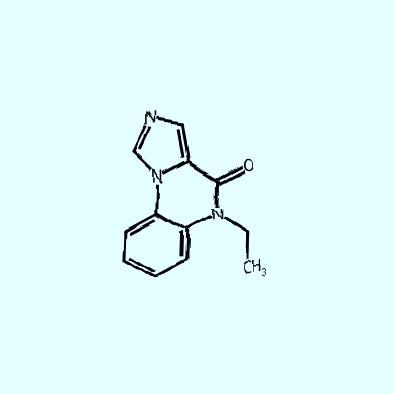 CCn1c(=O)c2cncn2c2ccccc21